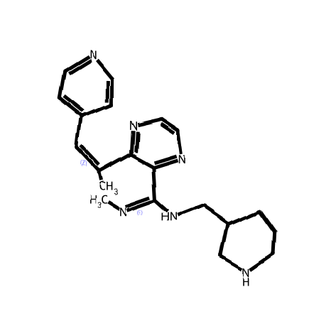 C/N=C(/NCC1CCCNC1)c1nccnc1/C(C)=C\c1ccncc1